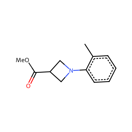 COC(=O)C1CN(c2ccccc2C)C1